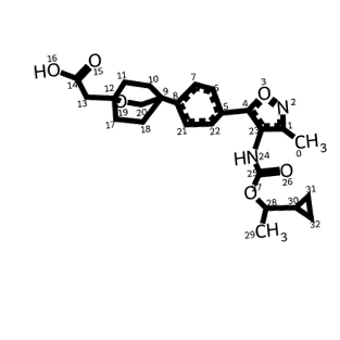 Cc1noc(-c2ccc(C34CCC(CC(=O)O)(CC3)OC4)cc2)c1NC(=O)OC(C)C1CC1